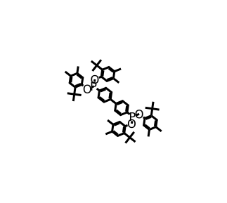 Cc1cc(OP(Oc2cc(C)c(C)cc2C(C)(C)C)c2ccc(-c3ccc(P(Oc4cc(C)c(C)cc4C(C)(C)C)Oc4cc(C)c(C)cc4C(C)(C)C)cc3)cc2)c(C(C)(C)C)cc1C